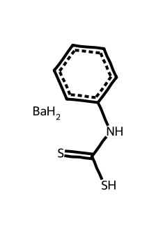 S=C(S)Nc1ccccc1.[BaH2]